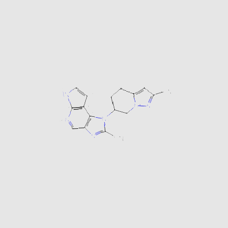 N#Cc1cc2n(n1)CC(n1c(C#N)nc3cnc4[nH]ccc4c31)CC2